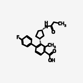 CCC(=O)N[C@H]1CC[C@@H](c2c(-c3ccc(F)cc3)ccc(C(=O)O)c2C)C1